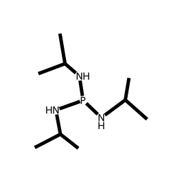 CC(C)NP(NC(C)C)NC(C)C